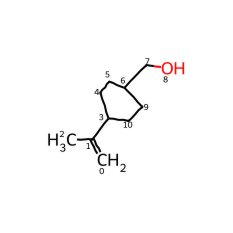 C=C(C)C1CCC(CO)CC1